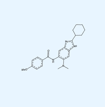 COc1ccc(C(=O)Nc2cc3nc(C4CCCCC4)[nH]c3cc2N(C)C)cc1